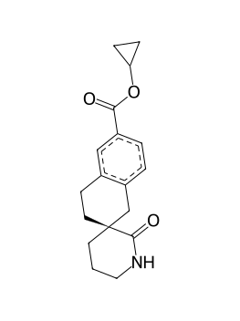 O=C(OC1CC1)c1ccc2c(c1)CC[C@@]1(CCCNC1=O)C2